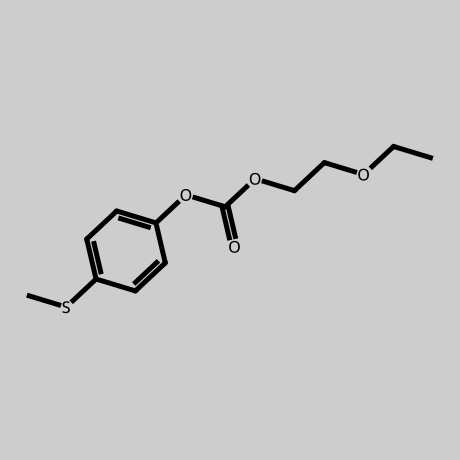 CCOCCOC(=O)Oc1ccc(SC)cc1